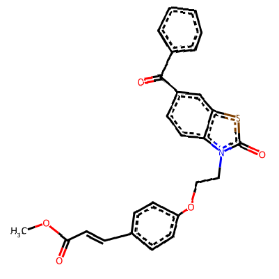 COC(=O)C=Cc1ccc(OCCn2c(=O)sc3cc(C(=O)c4ccccc4)ccc32)cc1